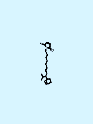 CC(C)C(CC=CCCCCCN1C(=O)C=CC1=O)C12CCC(CC1)C2